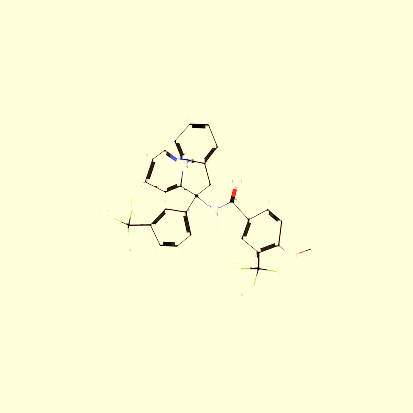 COc1ccc(C(=O)NC(Cc2ccccc2)(c2cccc(C(F)(F)F)c2)c2ccccn2)cc1C(F)(F)F